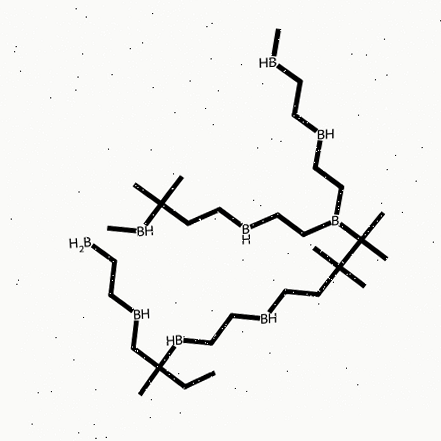 BCCBCC(C)(BCCBCCC(C)(C)C(C)(C)B(CCBCCBC)CCBCCC(C)(C)BC)CC